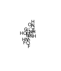 CC(C)(F)CC(NC(=O)c1cc2cc(F)cc(F)c2[nH]1)C(=O)NC(C[C@@H]1CCCNC1=O)C(=O)CO